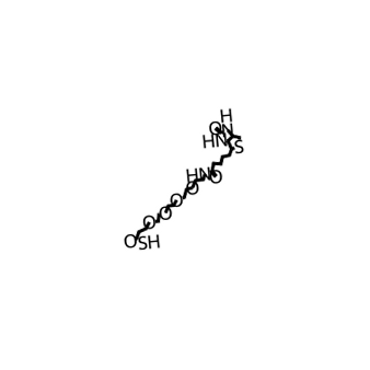 O=C(S)CCOCCOCCOCCOCCNC(=O)CCCCC1SCC2NC(=O)NC21